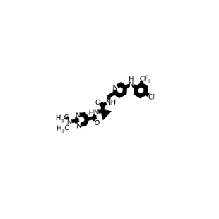 CN(C)c1ncc(C(=O)NC2(C(=O)NCc3ccc(Nc4ccc(Cl)cc4C(F)(F)F)cn3)CC2)cn1